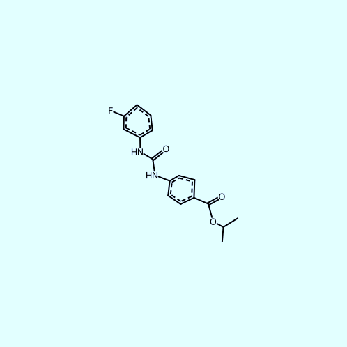 CC(C)OC(=O)c1ccc(NC(=O)Nc2cccc(F)c2)cc1